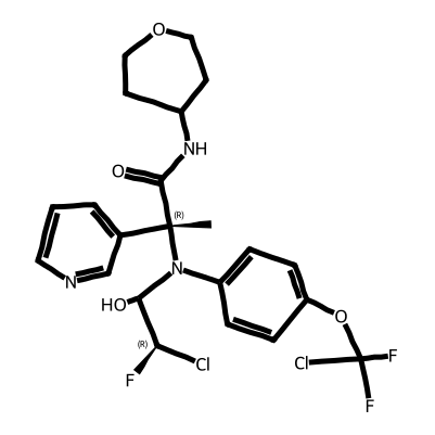 C[C@](C(=O)NC1CCOCC1)(c1cccnc1)N(c1ccc(OC(F)(F)Cl)cc1)C(O)[C@H](F)Cl